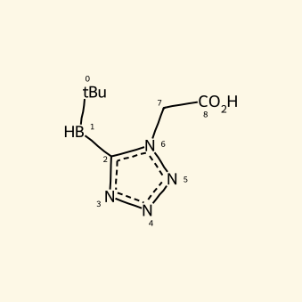 CC(C)(C)Bc1nnnn1CC(=O)O